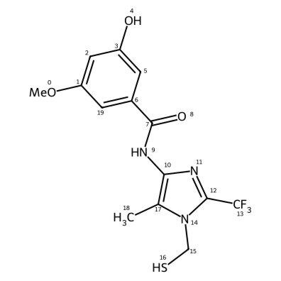 COc1cc(O)cc(C(=O)Nc2nc(C(F)(F)F)n(CS)c2C)c1